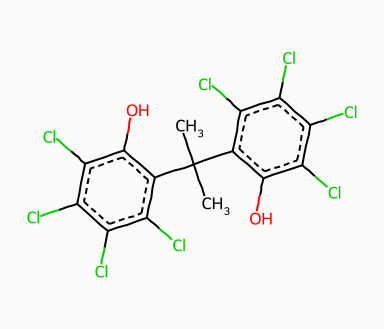 CC(C)(c1c(O)c(Cl)c(Cl)c(Cl)c1Cl)c1c(O)c(Cl)c(Cl)c(Cl)c1Cl